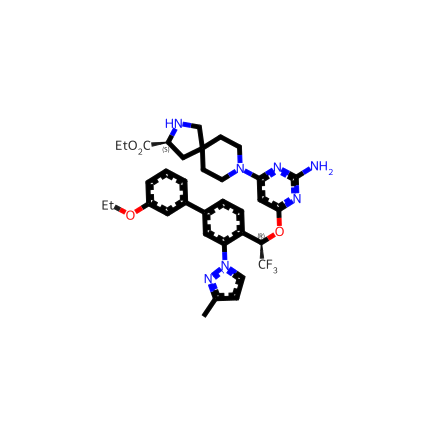 CCOC(=O)[C@@H]1CC2(CCN(c3cc(O[C@H](c4ccc(-c5cccc(OCC)c5)cc4-n4ccc(C)n4)C(F)(F)F)nc(N)n3)CC2)CN1